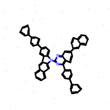 c1ccc(-c2ccc(-c3ccc4c(c3)c3cc5ccccc5cc3n4-c3nc(-c4ccc(-c5ccccc5)cc4)c4ccc(-c5ccc6ccccc6c5)cc4n3)cc2)cc1